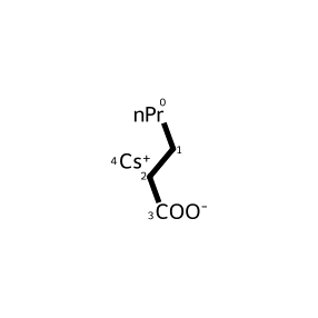 CCCCCC(=O)[O-].[Cs+]